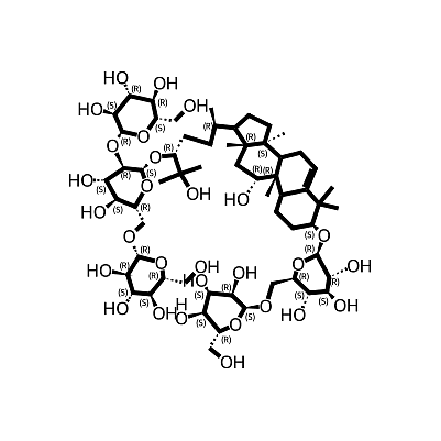 C[C@H](CC[C@@H](O[C@@H]1O[C@H](CO[C@@H]2O[C@H](CO)[C@@H](O)[C@H](O)[C@H]2O)[C@@H](O)[C@H](O)[C@H]1O[C@H]1O[C@@H](CO)[C@H](O)[C@@H](O)[C@@H]1O)C(C)(C)O)C1CC[C@@]2(C)C3CC=C4C(CC[C@H](O[C@@H]5O[C@H](CO[C@H]6O[C@H](CO)[C@@H](O)[C@H](O)[C@H]6O)[C@@H](O)[C@H](O)[C@H]5O)C4(C)C)[C@]3(C)[C@H](O)C[C@]12C